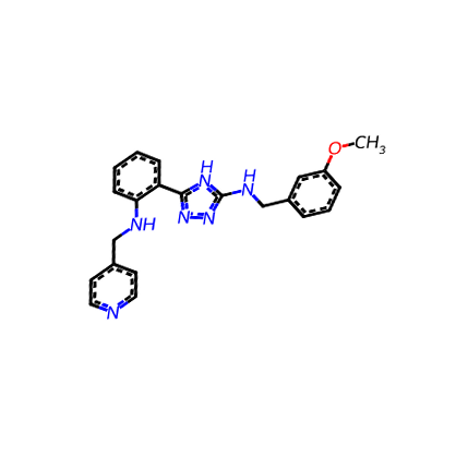 COc1cccc(CNc2nnc(-c3ccccc3NCc3ccncc3)[nH]2)c1